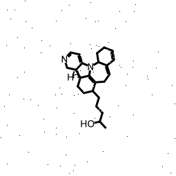 CC(O)CCCC1CC[C@H]2C3=C1CC=C1C=CCCC1N3C1=CC=NC[C@@H]12